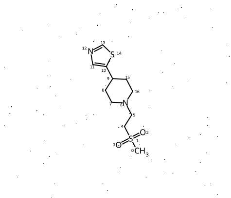 CS(=O)(=O)CCN1CCC(c2cncs2)CC1